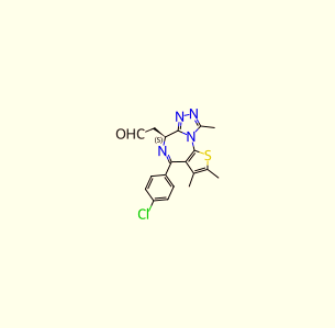 Cc1sc2c(c1C)C(c1ccc(Cl)cc1)=N[C@@H](CC=O)c1nnc(C)n1-2